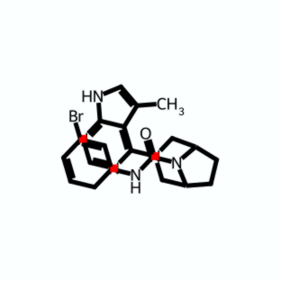 Cc1c[nH]c2ncnc(N3CC4CCC(C3)N4C(=O)NC3C=C(Br)C=CC3)c12